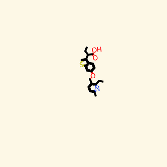 CCc1nc(C)ccc1COc1ccc2c(C(CC)C(=O)O)csc2c1